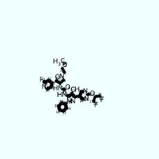 COCCN1C[C@@H](NC(=O)Nc2c(C)c(-c3cnc(OC(CF)CF)nc3)nn2-c2ccccc2)[C@H](c2ccnc(F)c2)O1